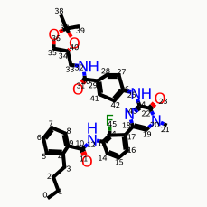 CCCCc1ccccc1C(=O)Nc1cccc(-c2cn(C)c(=O)c(Nc3ccc(C(=O)NCC4COC(C)(C)O4)cc3)n2)c1F